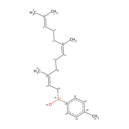 CC(C)=CCCC(C)=CCCC(C)=CC[S+]([O-])c1ccc(C)cc1